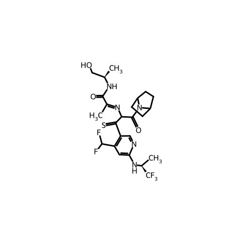 C/C(=N\C(C(=O)N1C2CCC1CC2)C(=S)c1cnc(N[C@@H](C)C(F)(F)F)cc1C(F)F)C(=O)N[C@H](C)CO